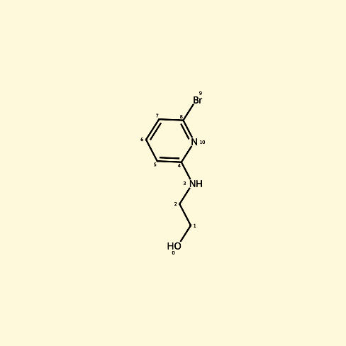 OCCNc1cccc(Br)n1